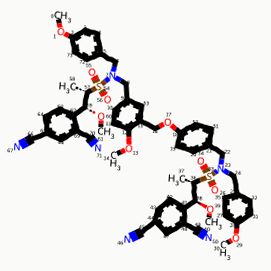 COc1ccc(CN(Cc2ccc(OC)c(COc3ccc(CN(Cc4ccc(OC)cc4)S(=O)(=O)[C@@H](C)[C@@H](OC)c4ccc(C#N)cc4C#N)cc3)c2)S(=O)(=O)[C@@H](C)[C@H](OC)c2ccc(C#N)cc2C#N)cc1